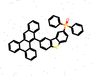 O=P(c1ccccc1)(c1ccccc1)c1ccc2sc3ccc(-c4c5ccccc5cc5c6ccccc6c6ccccc6c45)cc3c2c1